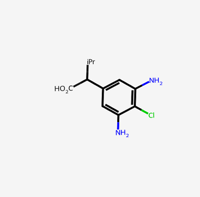 CC(C)C(C(=O)O)c1cc(N)c(Cl)c(N)c1